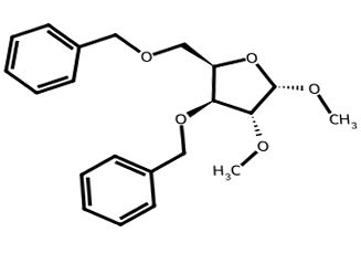 CO[C@H]1O[C@H](COCc2ccccc2)[C@H](OCc2ccccc2)[C@H]1OC